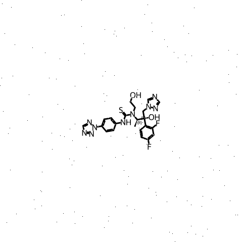 C[C@@H](N(CCO)C(=S)Nc1ccc(-n2ncnn2)cc1)[C@](O)(Cn1cncn1)c1ccc(F)cc1F